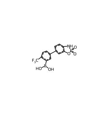 O=S1(=O)Nc2ccc(-c3ccc(C(F)(F)F)c(B(O)O)c3)cc2O1